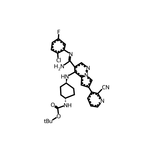 CC(C)(C)OC(=O)N[C@H]1CC[C@H](Nc2c(/C(N)=N/c3cc(F)ccc3Cl)cnn3cc(-c4cccnc4C#N)cc23)CC1